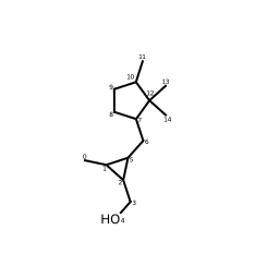 CC1C(CO)C1CC1CCC(C)C1(C)C